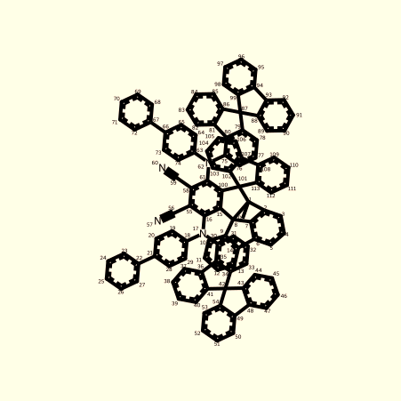 CC12c3cccc4c3C1(c1ccccc1-4)c1c(N(c3ccc(-c4ccccc4)cc3)c3cccc4c3-c3ccccc3C43c4ccccc4-c4ccccc43)c(C#N)c(C#N)c(N(c3ccc(-c4ccccc4)cc3)c3cccc4c3-c3ccccc3C43c4ccccc4-c4ccccc43)c1C21c2ccccc2-c2ccccc21